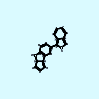 [c]1c(-c2occ3ccccc23)ccc2c1C1=CC=CC1O2